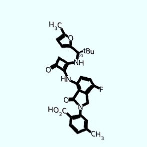 Cc1ccc(C(=O)O)c(N2Cc3c(F)ccc(NC4=C(N[C@@H](c5ccc(C)o5)C(C)(C)C)CC4=O)c3C2=O)c1